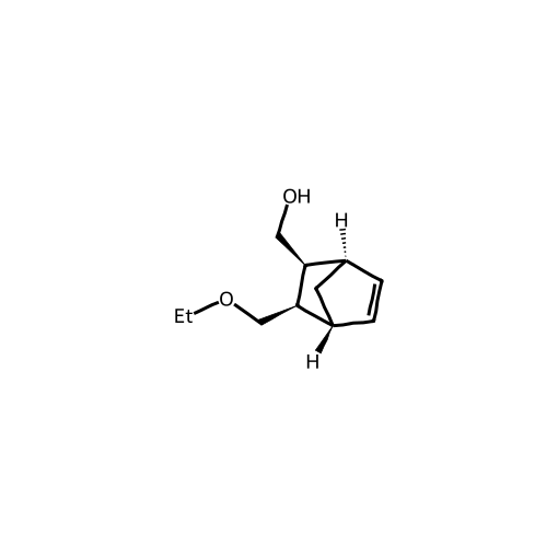 CCOC[C@H]1[C@@H](CO)[C@H]2C=C[C@H]1C2